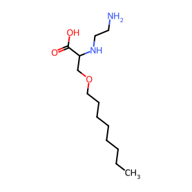 CCCCCCCCOCC(NCCN)C(=O)O